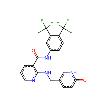 O=C(Nc1ccc(C(F)(F)F)c(C(F)(F)F)c1)c1cccnc1NCc1ccc(=O)[nH]c1